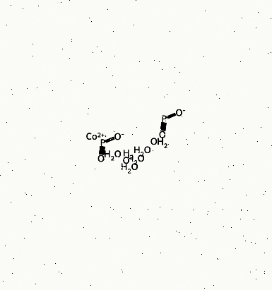 O.O.O.O.O.O.O=P[O-].O=P[O-].[Co+2]